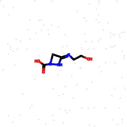 O=C(O)N1CC(=NCCO)N1